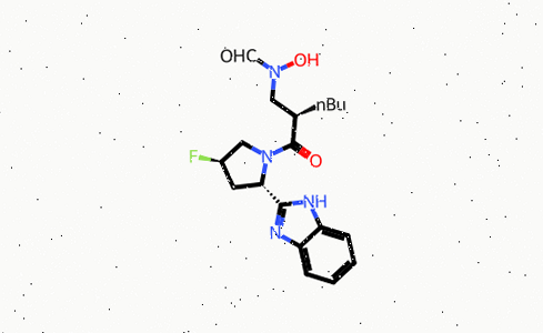 CCCC[C@H](CN(O)C=O)C(=O)N1C[C@H](F)C[C@H]1c1nc2ccccc2[nH]1